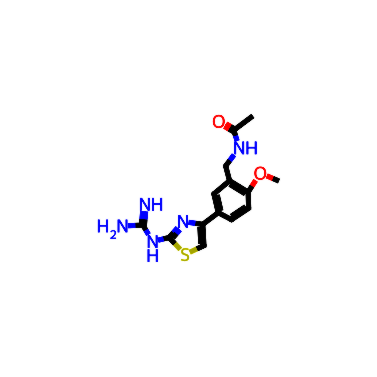 COc1ccc(-c2csc(NC(=N)N)n2)cc1CNC(C)=O